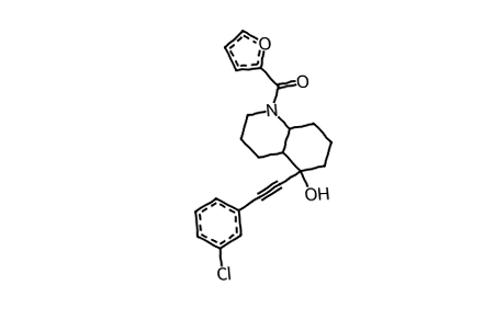 O=C(c1ccco1)N1CCCC2C1CCCC2(O)C#Cc1cccc(Cl)c1